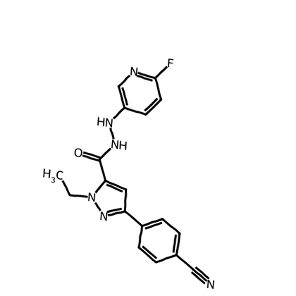 CCn1nc(-c2ccc(C#N)cc2)cc1C(=O)NNc1ccc(F)nc1